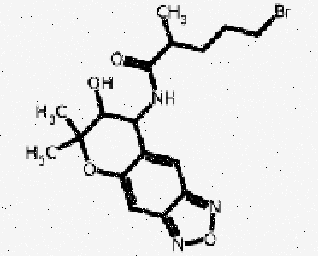 CC(CCCBr)C(=O)NC1c2cc3nonc3cc2OC(C)(C)C1O